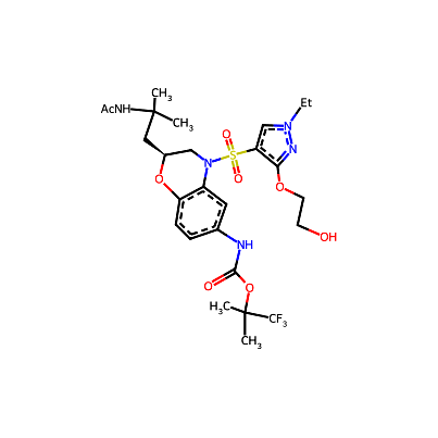 CCn1cc(S(=O)(=O)N2C[C@H](CC(C)(C)NC(C)=O)Oc3ccc(NC(=O)OC(C)(C)C(F)(F)F)cc32)c(OCCO)n1